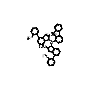 CC(C)c1ccccc1-c1cccc2c1C=C(C(C)(C)C)[CH]2[Zr]([c]1cccc2c1[SiH2]c1ccccc1-2)[CH]1C(C(C)(C)C)=Cc2c(-c3ccccc3C(C)C)cccc21